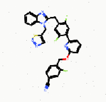 N#Cc1ccc(COc2cccc(-c3cc(F)c(Cc4nc5ccccc5n4Cc4cnns4)cc3F)n2)c(F)c1